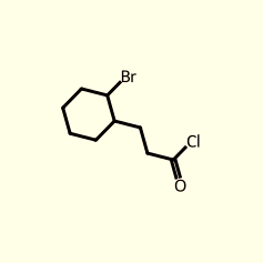 O=C(Cl)CCC1CCCCC1Br